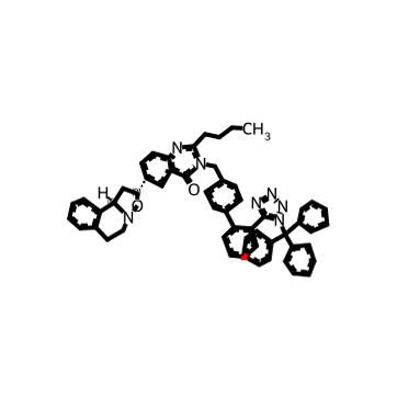 CCCCc1nc2ccc([C@H]3C[C@@H]4c5ccccc5CCN4O3)cc2c(=O)n1Cc1ccc(-c2ccccc2-c2nnnn2C(c2ccccc2)(c2ccccc2)c2ccccc2)cc1